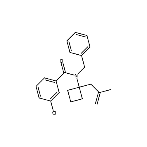 C=C(C)CC1(N(Cc2ccccc2)C(=O)c2cccc(Cl)c2)CCC1